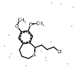 COc1cc2c(cc1OC)C(CCCCl)SCCC2